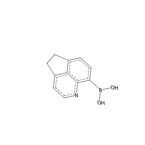 OB(O)c1ccc2c3c(ccnc13)CC2